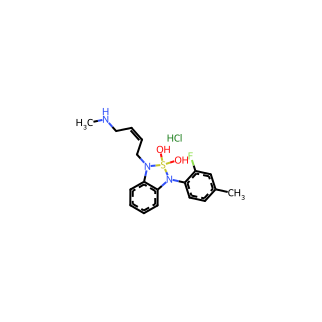 CNC/C=C\CN1c2ccccc2N(c2ccc(C)cc2F)S1(O)O.Cl